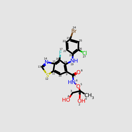 CC(O)(CO)ONC(=O)c1cc2scnc2c(F)c1Nc1ccc(Br)cc1Cl